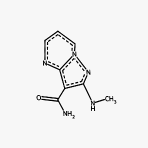 CNc1nn2cccnc2c1C(N)=O